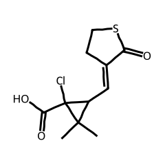 CC1(C)C(C=C2CCSC2=O)C1(Cl)C(=O)O